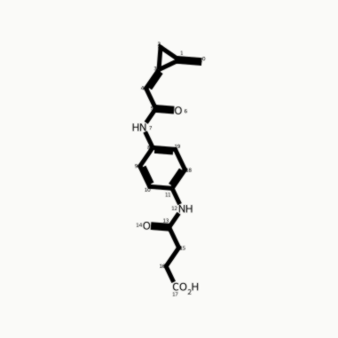 C=C1C/C1=C/C(=O)Nc1ccc(NC(=O)CCC(=O)O)cc1